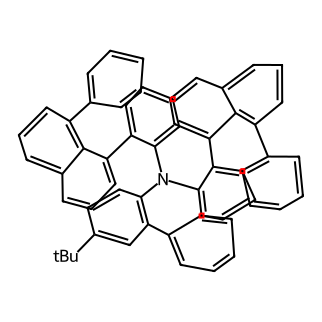 CC(C)(C)c1ccc(N(c2ccccc2-c2cccc3cccc(-c4ccccc4)c23)c2ccccc2-c2cccc3cccc(-c4ccccc4)c23)c(-c2ccccc2)c1